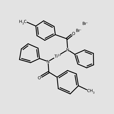 Cc1ccc(C(=O)[N]([Ti+2][N](C(=O)c2ccc(C)cc2)c2ccccc2)c2ccccc2)cc1.[Br-].[Br-]